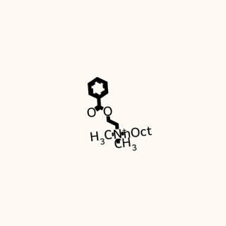 CCCCCCCC[N+](C)(C)CCOC(=O)c1ccccc1